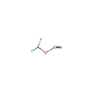 COOC(F)F